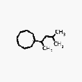 CC(C)CC(C)[C]1CCCCCCC1